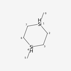 C[SiH]1CC[SiH](C)CC1